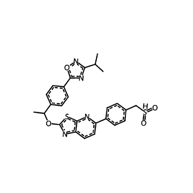 CC(C)c1noc(-c2ccc(C(C)Oc3nc4ccc(-c5ccc(C[SH](=O)=O)cc5)nc4s3)cc2)n1